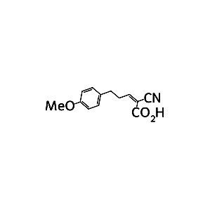 COc1ccc(CCC=C(C#N)C(=O)O)cc1